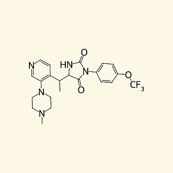 CC(c1ccncc1N1CCN(C)CC1)C1NC(=O)N(c2ccc(OC(F)(F)F)cc2)C1=O